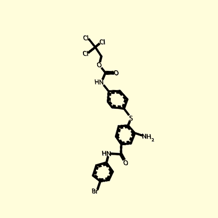 Nc1cc(C(=O)Nc2ccc(Br)cc2)ccc1Sc1ccc(NC(=O)OCC(Cl)(Cl)Cl)cc1